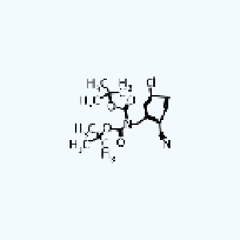 CC(C)(C)OC(=O)N(Cc1cc(Cl)ccc1C#N)C(=O)OC(C)(C)C